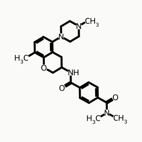 Cc1ccc(N2CCN(C)CC2)c2c1OCC(NC(=O)c1ccc(C(=O)N(C)C)cc1)C2